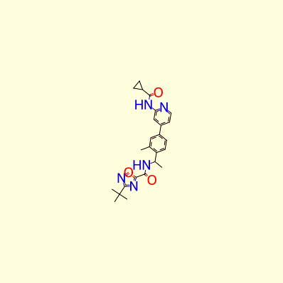 Cc1cc(-c2ccnc(NC(=O)C3CC3)c2)ccc1C(C)NC(=O)c1nc(C(C)(C)C)no1